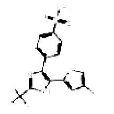 Cc1csc(-c2[nH]c(C(F)(F)F)nc2-c2ccc(S(C)(=O)=O)cc2)c1